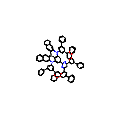 c1ccc(-c2cc(-c3ccccc3)cc(-c3cc(-c4cc(-c5ccccc5)cc(-c5ccccc5)c4)nc(-c4cc5c6c(c4)N(c4cc(-c7ccccc7)cc(-c7ccccc7)c4)c4cc7ccccc7cc4B6c4cc6ccccc6cc4N5c4cc(-c5ccccc5)cc(-c5ccccc5)c4)n3)c2)cc1